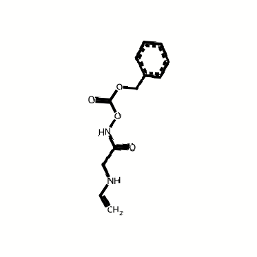 C=CNCC(=O)NOC(=O)OCc1ccccc1